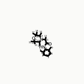 Cc1cccc(C)c1NC(=O)C(C)N1C(C)C(C)(C)OC(C)(C)C1C